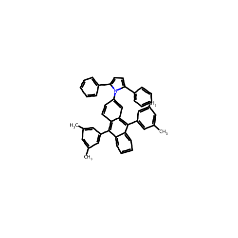 Cc1cc(C)cc(-c2c3ccccc3c(-c3cc(C)cc(C)c3)c3cc(-n4c(-c5ccccc5)ccc4-c4ccccc4)ccc23)c1